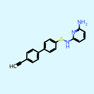 C#Cc1ccc(-c2ccc(SNc3cccc(N)n3)cc2)cc1